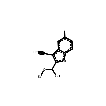 C#Cc1c(C(O)OCC)[nH]c2ccc(F)cc12